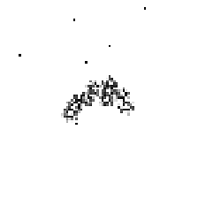 c1ccc(-c2cccc(-c3c4ccccc4c(-c4cccc(-c5ccc6c(c5)sc5cc7ccccc7cc56)c4)c4ccccc34)c2)cc1